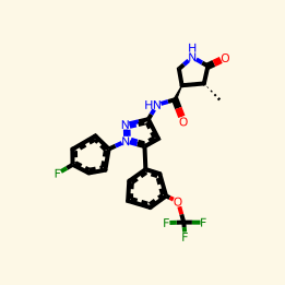 C[C@H]1C(=O)NC[C@@H]1C(=O)Nc1cc(-c2cccc(OC(F)(F)F)c2)n(-c2ccc(F)cc2)n1